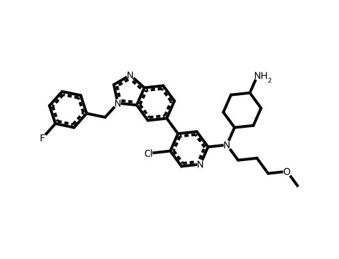 COCCCN(c1cc(-c2ccc3ncn(Cc4cccc(F)c4)c3c2)c(Cl)cn1)C1CCC(N)CC1